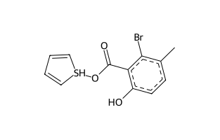 Cc1ccc(O)c(C(=O)O[SH]2C=CC=C2)c1Br